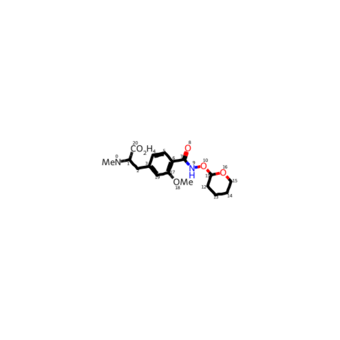 CNC(Cc1ccc(C(=O)NOC2CCCCO2)c(OC)c1)C(=O)O